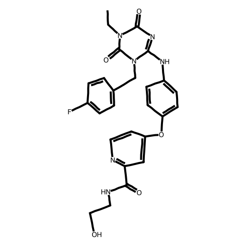 CCn1c(=O)nc(Nc2ccc(Oc3ccnc(C(=O)NCCO)c3)cc2)n(Cc2ccc(F)cc2)c1=O